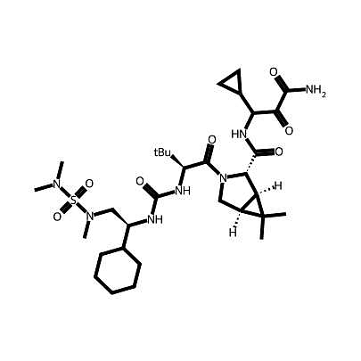 CN(C)S(=O)(=O)N(C)C[C@@H](NC(=O)N[C@H](C(=O)N1C[C@H]2[C@@H]([C@H]1C(=O)NC(C(=O)C(N)=O)C1CC1)C2(C)C)C(C)(C)C)C1CCCCC1